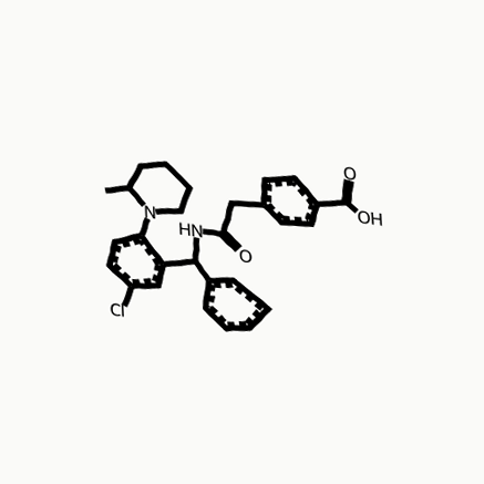 CC1CCCCN1c1ccc(Cl)cc1C(NC(=O)Cc1ccc(C(=O)O)cc1)c1ccccc1